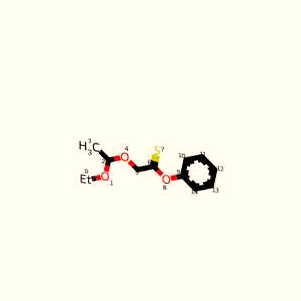 CCOC(C)OCC(=S)Oc1ccccc1